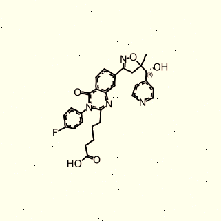 CC1([C@H](O)c2ccncc2)CC(c2ccc3c(=O)n(-c4ccc(F)cc4)c(CCCCC(=O)O)nc3c2)=NO1